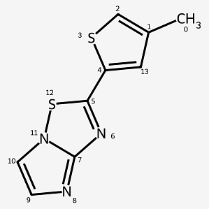 Cc1csc(-c2nc3nccn3s2)c1